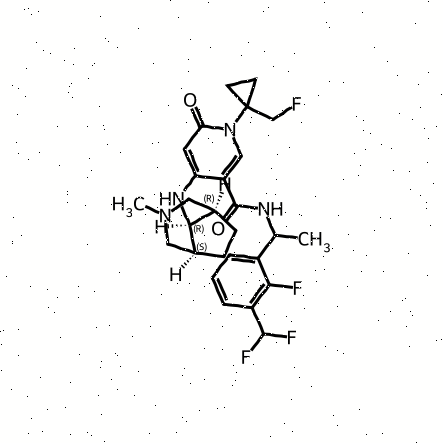 CC(NC(=O)c1cn(C2(CF)CC2)c(=O)cc1N[C@H]1[C@@H]2CC[C@H]1CN(C)C2)c1cccc(C(F)F)c1F